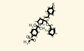 CC(C)(c1ccc(S(C)(=O)=O)cc1)N1CC[C@@](CCc2ccc(F)cc2)(COCc2ccccc2)C1